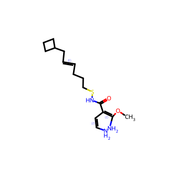 CO/C(N)=C(/C=C\N)C(=O)NSCCC/C=C/CC1CCC1